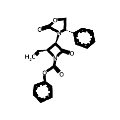 C=C[C@H]1[C@@H](N2C(=O)OC[C@@H]2c2ccccc2)C(=O)N1C(=O)Oc1ccccc1